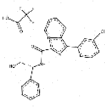 O=C(N[C@@H](CO)c1ccccc1)c1nc(-c2cccc(Cl)c2)c2ccccn12.O=C(O)C(F)(F)F